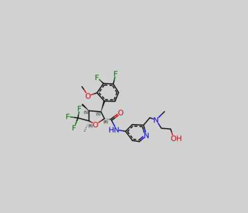 COc1c([C@H]2[C@H](C(=O)Nc3ccnc(CN(C)CCO)c3)O[C@@](C)(C(F)(F)F)[C@H]2C)ccc(F)c1F